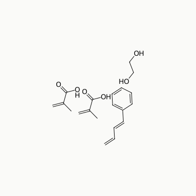 C=C(C)C(=O)O.C=C(C)C(=O)O.C=CC=Cc1ccccc1.OCCO